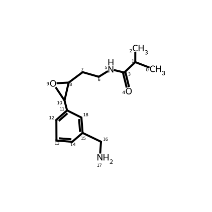 CC(C)C(=O)NCCC1OC1c1cccc(CN)c1